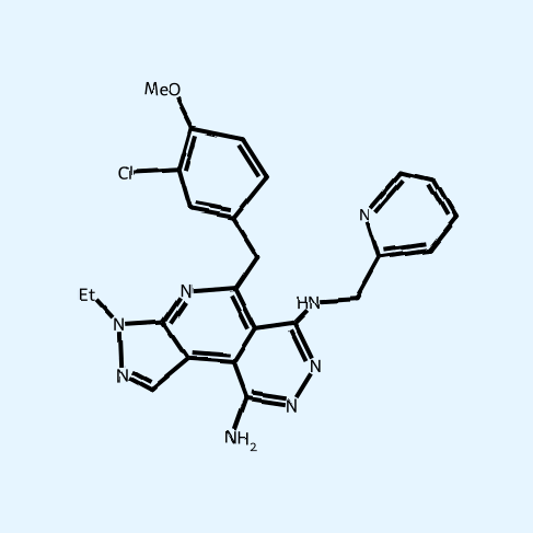 CCn1ncc2c3c(N)nnc(NCc4ccccn4)c3c(Cc3ccc(OC)c(Cl)c3)nc21